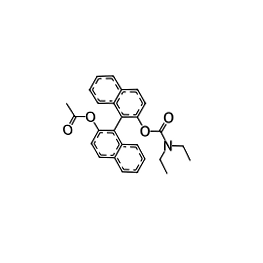 CCN(CC)C(=O)Oc1ccc2ccccc2c1-c1c(OC(C)=O)ccc2ccccc12